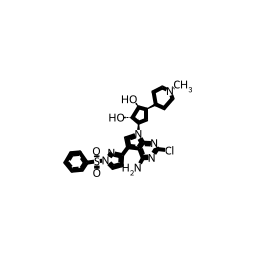 CN1CCC([C@H]2C[C@@H](n3cc(-c4ccn(S(=O)(=O)c5ccccc5)n4)c4c(N)nc(Cl)nc43)[C@H](O)[C@@H]2O)CC1